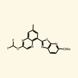 COc1ccc2nc(-c3cc(C)cc4nc(OC(F)F)cnc34)sc2n1